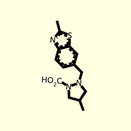 Cc1nc2ccc(CN3CC(C)CN3C(=O)O)cc2s1